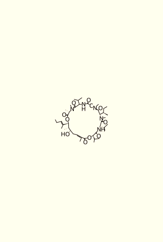 CC/C=C(\C)[C@H]1OC(=O)[C@H](C)N(C)C(=O)C(C(C)C)NC(=O)CN(C)C(=O)[C@H]([C@H](C)CC)N(C)C(=O)[C@H](C(C)C)NC(=O)[C@@H](C(C)C)OC(=O)/C(C)=C/C[C@H](O)[C@@H]1C